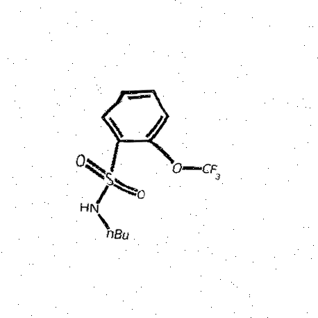 CCCCNS(=O)(=O)c1ccccc1OC(F)(F)F